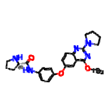 CCCCOc1nc(N2CCCC2)nc2ccc(Oc3ccc(NC(=O)[C@@H]4CCCN4)cc3)cc12